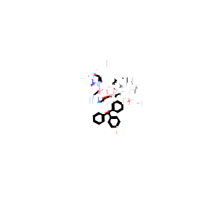 COc1ccc(C(OC[C@]2(CO[Si](C(C)C)(C(C)C)C(C)C)CNC[C@H](n3cc(C)c(=O)[nH]c3=O)O2)(c2ccccc2)c2ccc(OC)cc2)cc1